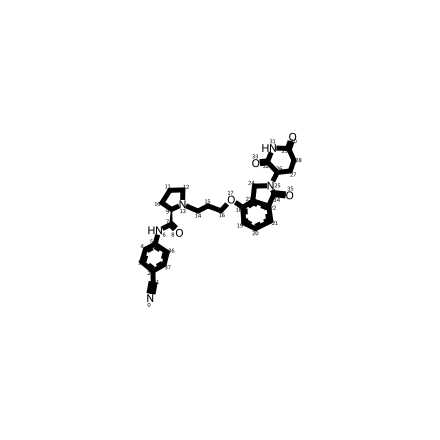 N#Cc1ccc(NC(=O)[C@H]2CCCN2CCCOc2cccc3c2CN(C2CCC(=O)NC2=O)C3=O)cc1